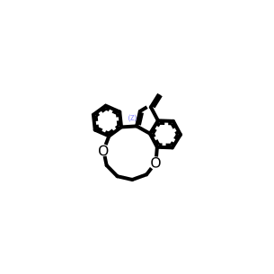 C=Cc1cccc2c1/C(=C\C)c1ccccc1OCCCCO2